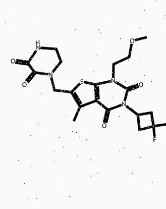 COCCn1c(=O)n(C2CC(F)(F)C2)c(=O)c2c(C)c(CN3CCNC(=O)C3=O)sc21